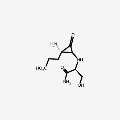 NC(=O)[C@H](CO)NC1C(=O)[C@]1(N)CCC(=O)O